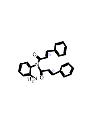 Nc1ccccc1N(C(=O)/C=C/c1ccccc1)C(=O)/C=C/c1ccccc1